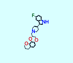 Fc1ccc2[nH]cc(C3=CCN(CC4COc5ccc6c(c5O4)OCCC6)CC3)c2c1